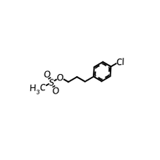 CS(=O)(=O)OCCCc1ccc(Cl)cc1